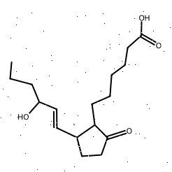 CCCC(O)C=CC1CCC(=O)C1CCCCCC(=O)O